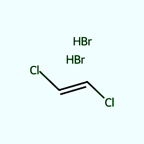 Br.Br.ClC=CCl